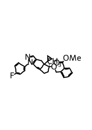 COC(=O)c1ccccc1CO[C@@]1(C)CCC2=Cc3c(cnn3-c3ccc(F)cc3)CC21C1CC1